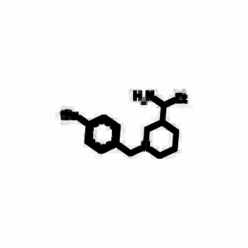 CCC(N)C1CCCN(Cc2ccc(C(C)(C)C)cc2)C1